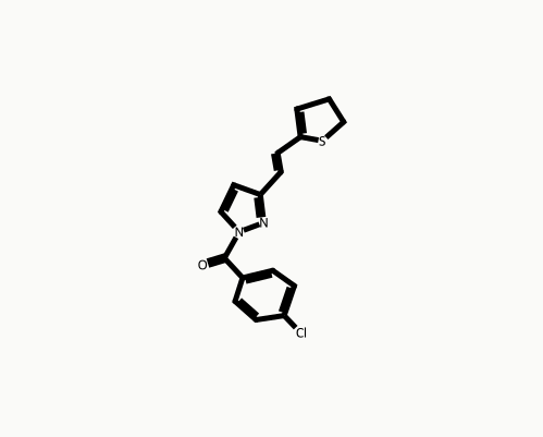 O=C(c1ccc(Cl)cc1)n1ccc(/C=C/C2=CCCS2)n1